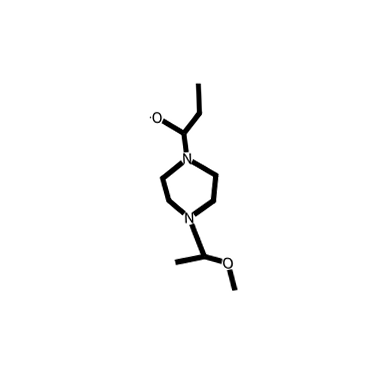 CCC([O])N1CCN(C(C)OC)CC1